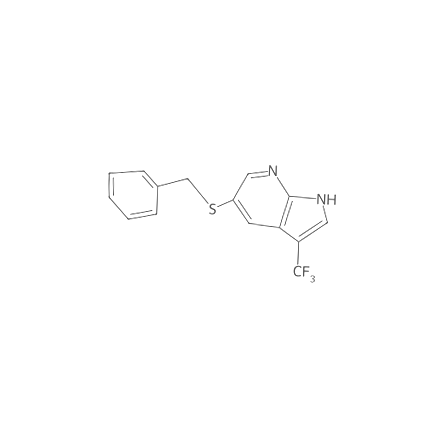 FC(F)(F)c1c[nH]c2ncc(SCc3ccccc3)cc12